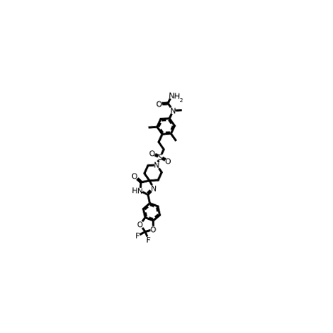 Cc1cc(N(C)C(N)=O)cc(C)c1CCS(=O)(=O)N1CCC2(CC1)N=C(c1ccc3c(c1)OC(F)(F)O3)NC2=O